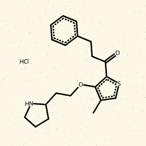 Cc1csc(C(=O)CCc2ccccc2)c1OCCC1CCCN1.Cl